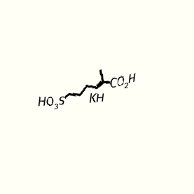 CC(=CCCCS(=O)(=O)O)C(=O)O.[KH]